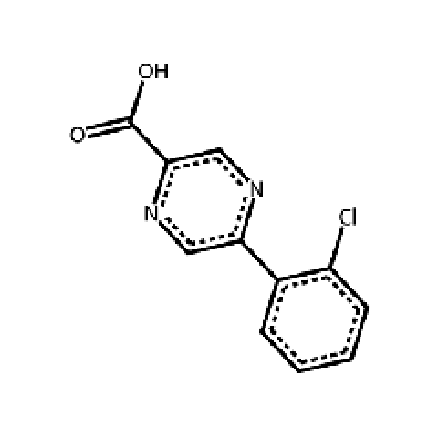 O=C(O)c1cnc(-c2ccccc2Cl)cn1